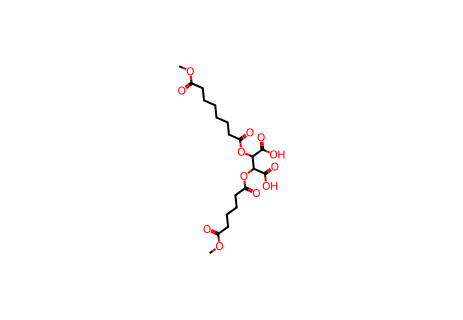 COC(=O)CCCCCCC(=O)OC(C(=O)O)C(OC(=O)CCCCC(=O)OC)C(=O)O